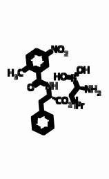 CC(C)C[C@H](N)B(O)O.Cc1ccc([N+](=O)[O-])cc1C(=O)N[C@@H](Cc1ccccc1)C(=O)O